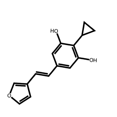 Oc1cc(/C=C/c2ccoc2)cc(O)c1C1CC1